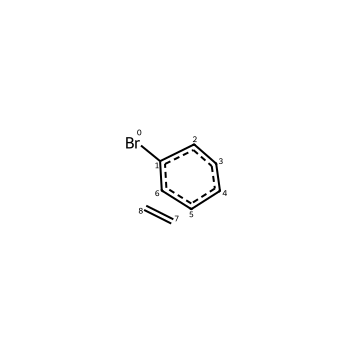 Brc1ccccc1.C=C